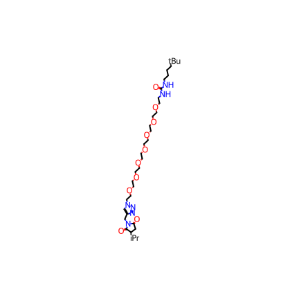 CC(C)C1CC(=O)N(Cc2cn(CCOCCOCCOCCOCCOCCOCCOCCNC(=O)NCCCCC(C)(C)C)nn2)C1=O